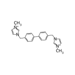 C[n+]1ccn(Cc2ccc(-c3ccc(Cn4cc[n+](C)c4)cc3)cc2)c1